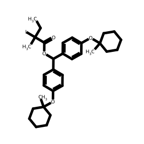 CCC(C)(I)C(=O)OC(c1ccc(OC2(C)CCCCC2)cc1)c1ccc(OC2(C)CCCCC2)cc1